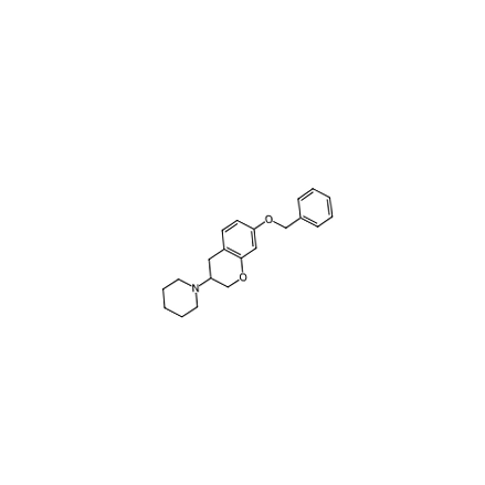 c1ccc(COc2ccc3c(c2)OCC(N2CCCCC2)C3)cc1